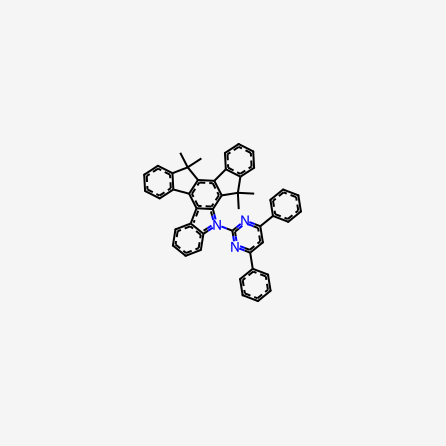 CC1(C)c2ccccc2-c2c1c1c(c3c2c2ccccc2n3-c2nc(-c3ccccc3)cc(-c3ccccc3)n2)C(C)(C)c2ccccc2-1